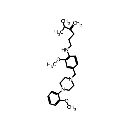 C=C(CCCNc1ccc(CN2CCN(c3ccccc3OC)CC2)cc1OC)C(C)C